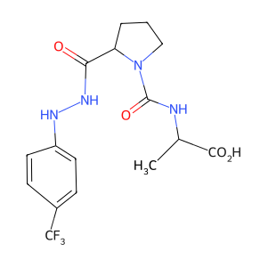 CC(NC(=O)N1CCCC1C(=O)NNc1ccc(C(F)(F)F)cc1)C(=O)O